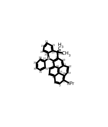 CC(C)c1ccc2ccc3c4c(cc5ccc1c2c53)C(C)(C)c1ccccc1B4c1ccccc1